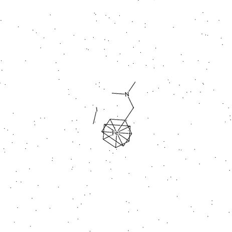 CI.CN(C)C[C]12[CH]3[CH]4[CH]5[CH]1[Fe]45321678[CH]2[CH]1[CH]6[CH]7[CH]28